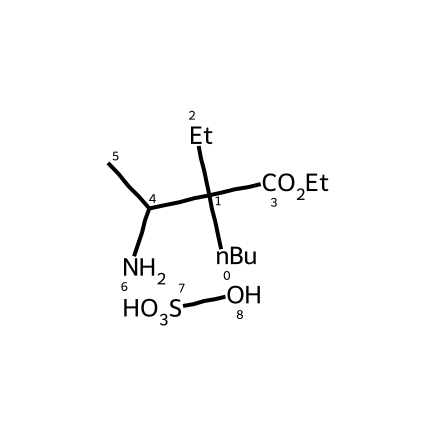 CCCCC(CC)(C(=O)OCC)C(C)N.O=S(=O)(O)O